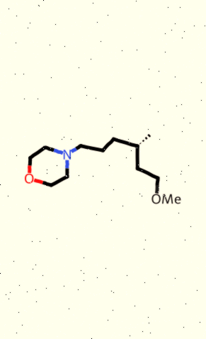 COCC[C@@H](C)CCCN1CCOCC1